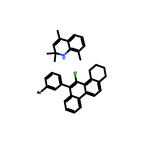 CC(=O)c1cccc(-c2c(Cl)c3c4c(ccc3c3ccccc23)CCCC4)c1.CC1=CC(C)(C)Nc2c(C)cccc21